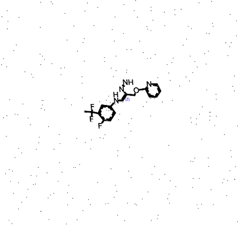 CC(F)(F)c1cc(N/C=C(/COc2ccccn2)N=N)ccc1F